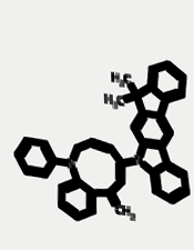 C=C1/C=C(n2c3ccccc3c3cc4c(cc32)C(C)(C)c2ccccc2-4)\C=C/CN(c2ccccc2)c2ccccc21